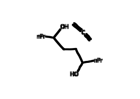 C=C=C.CCCC(O)CCC(O)CCC